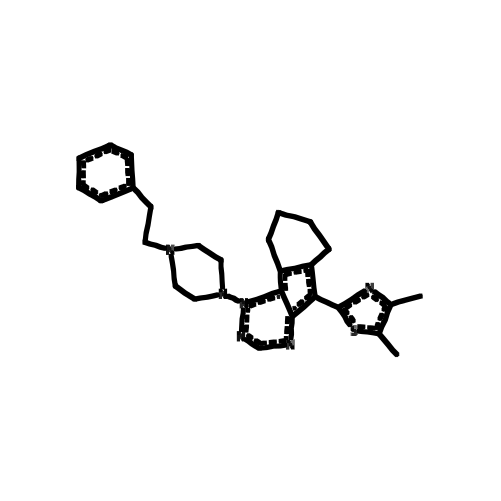 Cc1nc(-c2c3ncnn(N4CCN(CCc5ccccc5)CC4)c-3c3c2CCCC3)sc1C